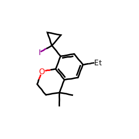 CCc1cc2c(c(C3(I)CC3)c1)OCCC2(C)C